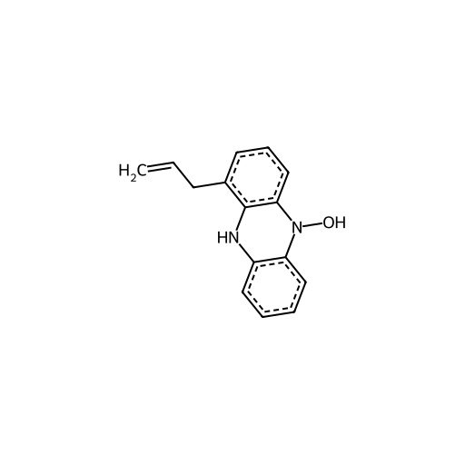 C=CCc1cccc2c1Nc1ccccc1N2O